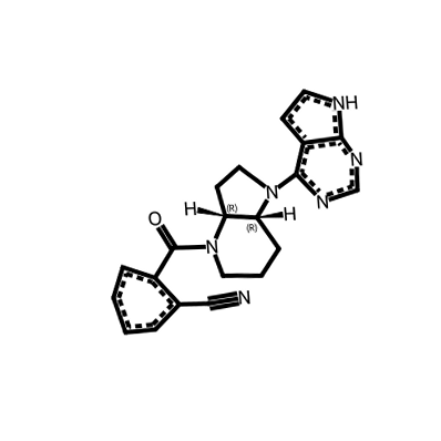 N#Cc1ccccc1C(=O)N1CCC[C@@H]2[C@H]1CCN2c1ncnc2[nH]ccc12